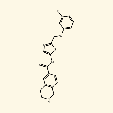 O=C(Nc1nnc(COc2cccc(F)c2)s1)c1ccc2c(c1)CCNC2